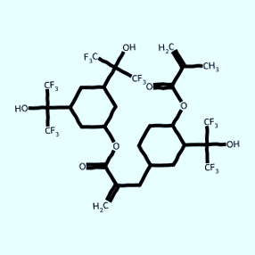 C=C(C)C(=O)OC1CCC(CC(=C)C(=O)OC2CC(C(O)(C(F)(F)F)C(F)(F)F)CC(C(O)(C(F)(F)F)C(F)(F)F)C2)CC1C(O)(C(F)(F)F)C(F)(F)F